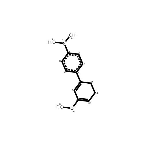 CN(C)c1ccc(C2=CC(OC(F)(F)F)=CC[CH]2)cc1